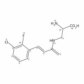 C=C(/C=C/c1cccc(Cl)c1F)NCC(N)C(=O)O